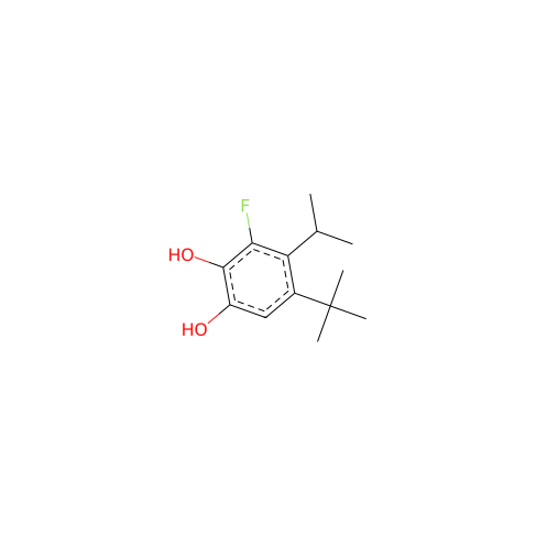 CC(C)c1c(C(C)(C)C)cc(O)c(O)c1F